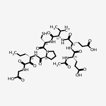 CCC[C@H](NC(=O)[C@@H]1CCCN1C(=O)[C@H](CS)NC(=O)[C@@H](NC(=O)[C@H](CCC(=O)O)NC(=O)[C@H](CCC(=O)O)NC(C)=O)C(C)C)C(=O)C(=O)NCC(=O)O